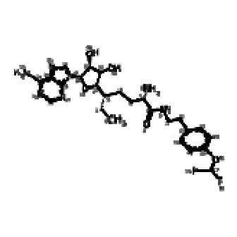 CC[C@@H](CC[C@H](N)C(=O)NCCc1ccc(OC(F)F)cc1)[C@H]1O[C@@H](n2cnc3c(N)ncnc32)[C@@H](O)C1O